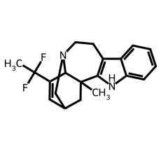 CC(F)(F)C1=CC2CN3CCc4c([nH]c5ccccc45)C(C)(C2)C13